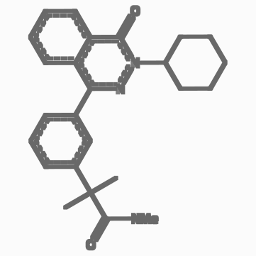 CNC(=O)C(C)(C)c1cccc(-c2nn(C3CCCCC3)c(=O)c3ccccc23)c1